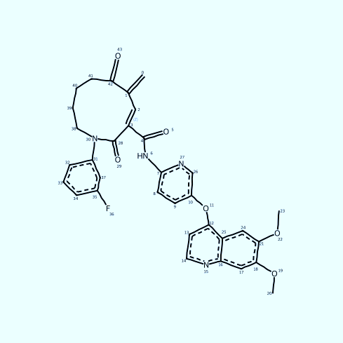 C=C1/C=C(/C(=O)Nc2ccc(Oc3ccnc4cc(OC)c(OC)cc34)cn2)C(=O)N(c2cccc(F)c2)CCCCC1=O